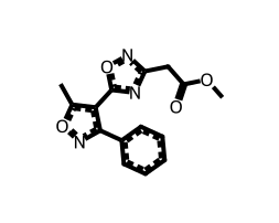 COC(=O)Cc1noc(-c2c(-c3ccccc3)noc2C)n1